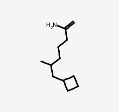 C=C(N)CCCC(C)CC1CCC1